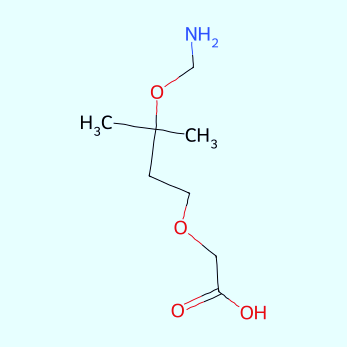 CC(C)(CCOCC(=O)O)OCN